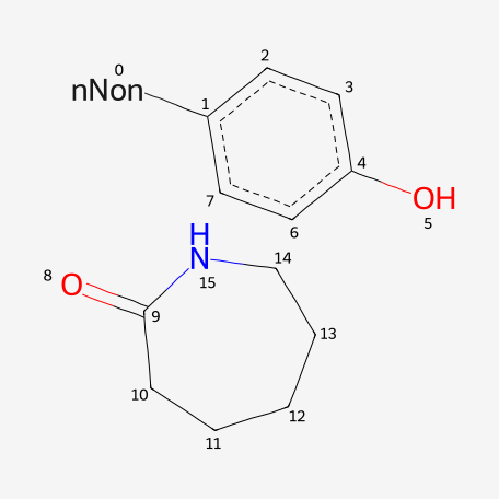 CCCCCCCCCc1ccc(O)cc1.O=C1CCCCCN1